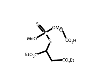 CCOC(=O)CC(SP(=S)(OC)OC)C(=O)OCC.O=C(O)Cl